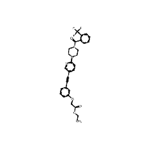 CCOC(=O)COc1cccc(C#Cc2ccc(N3CCN(C(=O)c4ccccc4C(F)(F)F)CC3)nc2)c1